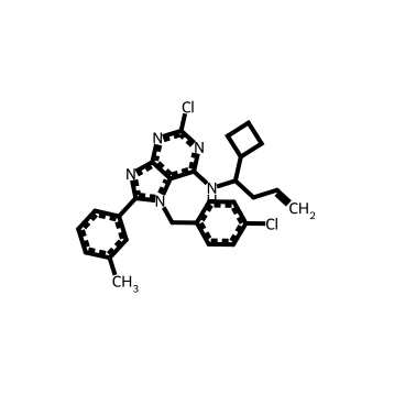 C=CCC(Nc1nc(Cl)nc2nc(-c3cccc(C)c3)n(Cc3ccc(Cl)cc3)c12)C1CCC1